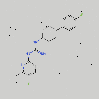 Cc1nc(NC(=N)NC2CCC(c3ccc(F)cc3)CC2)ccc1F